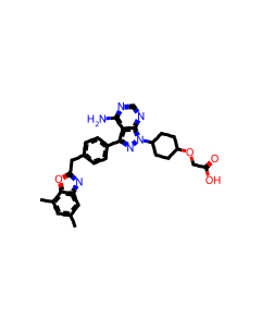 Cc1cc(C)c2oc(Cc3ccc(-c4nn(C5CCC(OCC(=O)O)CC5)c5ncnc(N)c45)cc3)nc2c1